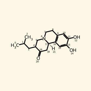 CC(C)CC1CN2CCc3cc(O)c(O)cc3[C@H]2CC1=O